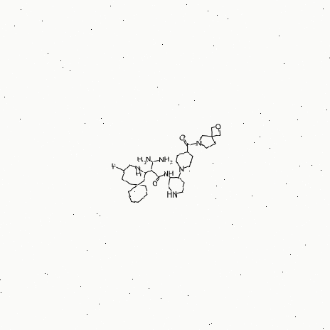 NC(N)C(C(=O)NC1CNCCC1N1CCC(C(=O)N2CCC3(COC3)C2)CC1)C1CC2(CCCCC2)CCC(F)CN1